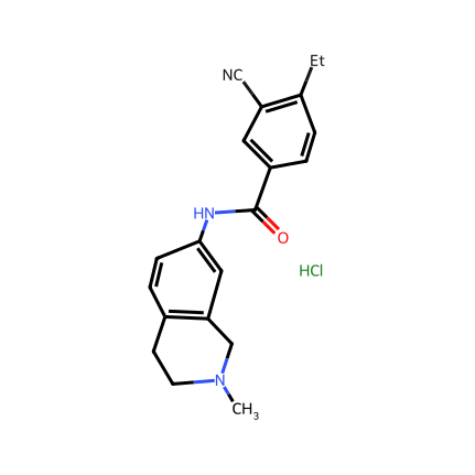 CCc1ccc(C(=O)Nc2ccc3c(c2)CN(C)CC3)cc1C#N.Cl